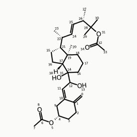 C=C1CC[C@H](OC(C)=O)C/C1=C/C(O)C1(O)CCC[C@]2(C)[C@@H]([C@H](C)/C=C/[C@H](C)C(C)(C)OC(C)=O)CC[C@@H]12